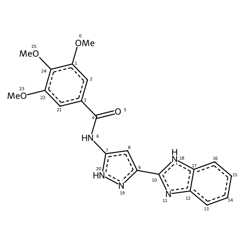 COc1cc(C(=O)Nc2cc(-c3nc4ccccc4[nH]3)n[nH]2)cc(OC)c1OC